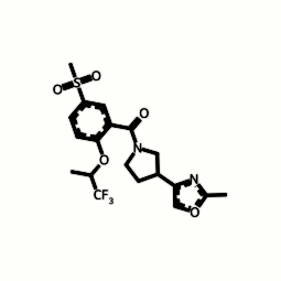 Cc1nc(C2CCN(C(=O)c3cc(S(C)(=O)=O)ccc3OC(C)C(F)(F)F)C2)co1